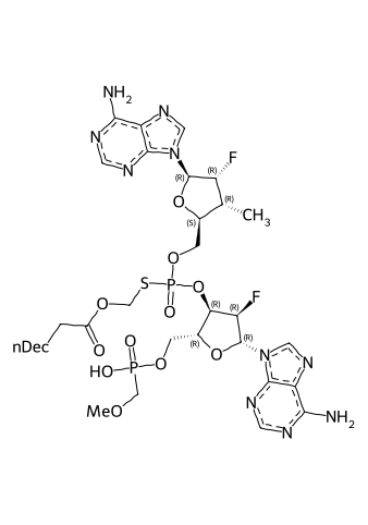 CCCCCCCCCCCC(=O)OCSP(=O)(OC[C@H]1O[C@@H](n2cnc3c(N)ncnc32)[C@H](F)[C@@H]1C)O[C@H]1[C@@H](F)[C@H](n2cnc3c(N)ncnc32)O[C@@H]1COP(=O)(O)COC